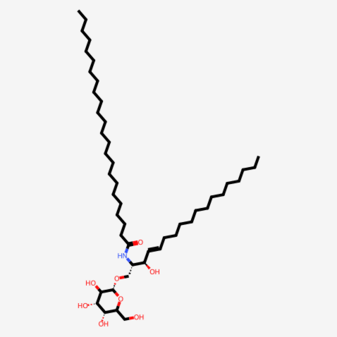 CCCCCCCCCCCCC/C=C/[C@@H](O)[C@H](CO[C@@H]1OC(CO)[C@H](O)[C@H](O)C1O)NC(=O)CCCCCCCCCCCCCCCCCCCCCCC